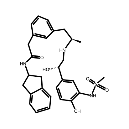 C[C@H](Cc1cccc(CC(=O)NC2Cc3ccccc3C2)c1)NC[C@@H](O)c1ccc(O)c(NS(C)(=O)=O)c1